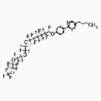 CCCCc1cnc(-c2ccc(OC(F)C(F)(F)C(F)(F)C(F)(F)C(F)(F)C(F)(F)OC(F)(F)C(F)(F)OC(F)(F)C(F)(F)OC(F)(F)C(F)(F)OC(F)(F)F)cc2)nc1